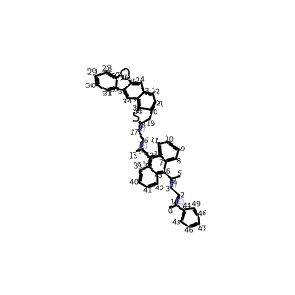 C/C(=C\C=C(/C)c1c2ccccc2c(/C(C)=C/C=C2\Cc3ccc4cc5oc6ccccc6c5cc4c3S2)c2ccccc12)c1ccccc1